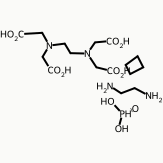 C1CCC1.NCCN.O=C(O)CN(CCN(CC(=O)O)CC(=O)O)CC(=O)O.O=[PH](O)O